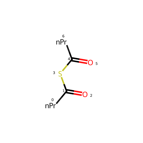 CCCC(=O)SC(=O)CCC